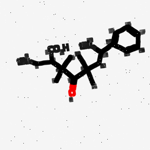 CC(C)(C)CC(C(=O)O)C(C)(C)C(=O)C(C)(C)CC(c1ccccc1)C(C)(C)C